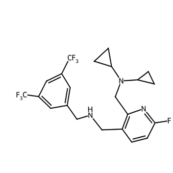 Fc1ccc(CNCc2cc(C(F)(F)F)cc(C(F)(F)F)c2)c(CN(C2CC2)C2CC2)n1